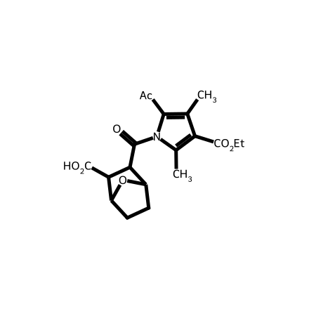 CCOC(=O)c1c(C)c(C(C)=O)n(C(=O)C2C3CCC(O3)C2C(=O)O)c1C